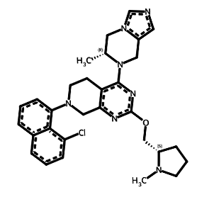 C[C@@H]1Cn2cncc2CN1c1nc(OC[C@@H]2CCCN2C)nc2c1CCN(c1cccc3cccc(Cl)c13)C2